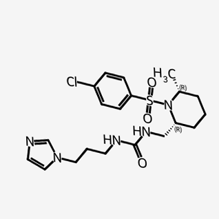 C[C@@H]1CCC[C@H](CNC(=O)NCCCn2ccnc2)N1S(=O)(=O)c1ccc(Cl)cc1